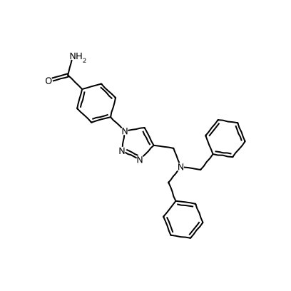 NC(=O)c1ccc(-n2cc(CN(Cc3ccccc3)Cc3ccccc3)nn2)cc1